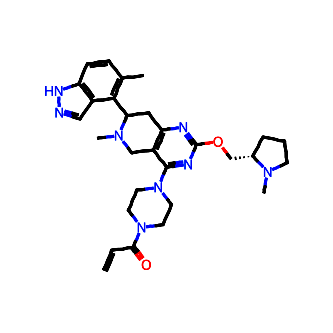 C=CC(=O)N1CCN(c2nc(OC[C@@H]3CCCN3C)nc3c2CN(C)C(c2c(C)ccc4[nH]ncc24)C3)CC1